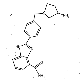 NC(=O)c1cccc2[nH]c(-c3ccc(CN4CCC(N)C4)cc3)nc12